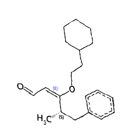 C[C@@H](Cc1ccccc1)/C(=C\C=O)OCCC1CCCCC1